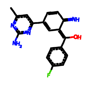 Cc1cc(C2=C/C(=C(/O)c3ccc(F)cc3)C(=N)C=C2)nc(N)n1